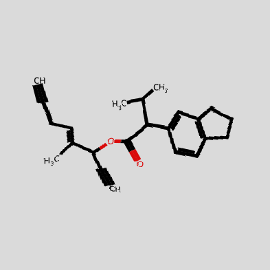 C#CCC=C(C)C(C#C)OC(=O)C(c1ccc2c(c1)CCC2)C(C)C